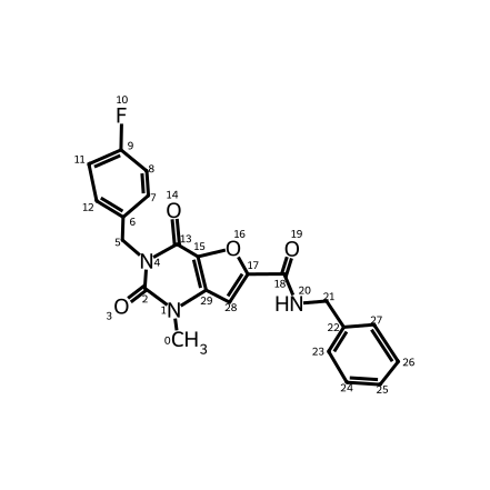 Cn1c(=O)n(Cc2ccc(F)cc2)c(=O)c2oc(C(=O)NCc3ccccc3)cc21